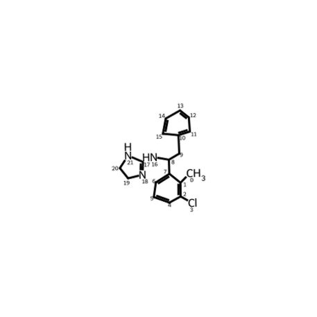 Cc1c(Cl)cccc1C(Cc1ccccc1)NC1=NCCN1